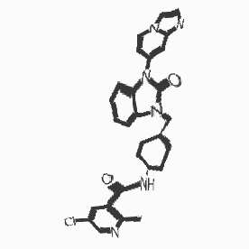 Cc1ncc(Cl)cc1C(=O)N[C@H]1CC[C@H](Cn2c(=O)n(-c3ccn4ccnc4c3)c3ccccc32)CC1